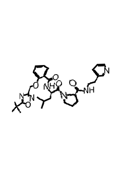 CC(C)C[C@@H](NC(=O)c1ccccc1OCc1noc(C(C)(C)C)n1)C(=O)N1CCC[C@@H]1C(=O)NCCc1cccnc1